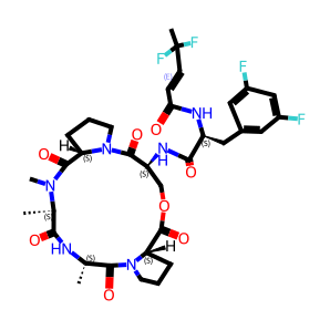 C[C@@H]1NC(=O)[C@H](C)N(C)C(=O)[C@@H]2CCCN2C(=O)[C@@H](NC(=O)[C@H](Cc2cc(F)cc(F)c2)NC(=O)/C=C/C(C)(F)F)COC(=O)[C@@H]2CCCN2C1=O